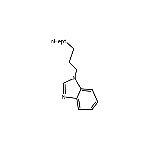 CCCCCCCCCCn1cnc2ccccc21